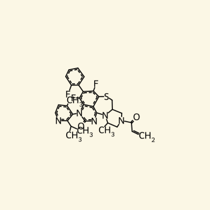 C=CC(=O)N1CC(C)N2c3nc(=O)n(-c4c(C)ccnc4C(C)C)c4c(F)c(-c5ccccc5F)c(F)c(c34)SCC2C1